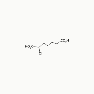 O=C(O)CCCCC(Cl)C(=O)O